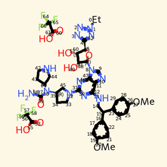 CCn1nnc([C@H]2O[C@@H](n3cnc4c(NCC(c5ccc(OC)cc5)c5ccc(OC)cc5)nc(N5CC[C@@H](N(C(N)=O)[C@@H]6CCNC6)C5)nc43)[C@H](O)[C@@H]2O)n1.O=C(O)C(F)(F)F.O=C(O)C(F)(F)F